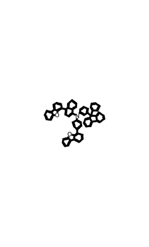 c1ccc(C2(c3cccc(N(c4ccc(-c5cccc6c5oc5ccccc56)cc4)c4ccc(-c5cccc6c5oc5ccccc56)c5ccccc45)c3)c3ccccc3-c3ccccc32)cc1